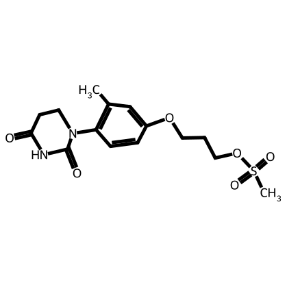 Cc1cc(OCCCOS(C)(=O)=O)ccc1N1CCC(=O)NC1=O